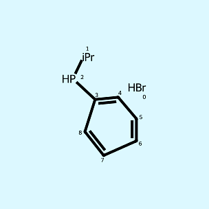 Br.CC(C)Pc1ccccc1